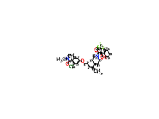 C[C@H](CCCOc1ccc(C(=O)N(C)C)c(Cl)c1)C1CCN(C(=O)[C@](O)(c2ccccc2)C(F)(F)F)CC1